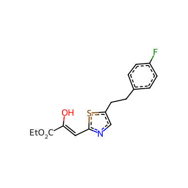 CCOC(=O)C(O)=Cc1ncc(CCc2ccc(F)cc2)s1